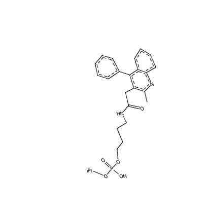 Cc1nc2ccccc2c(-c2ccccc2)c1CC(=O)NCCCCOP(=O)(O)OC(C)C